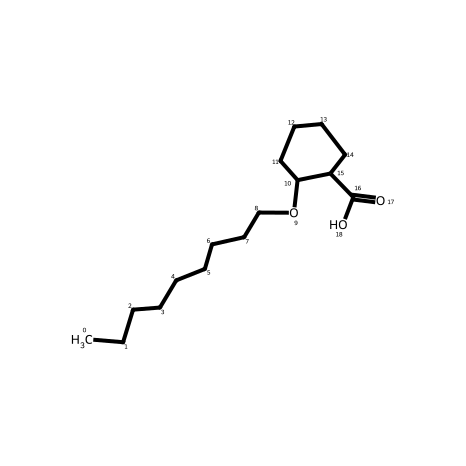 CCCCCCCCCOC1CCCCC1C(=O)O